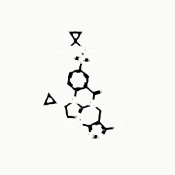 Cc1noc(C)c1CN1C(=O)c2cc(S(=O)(=O)NC3(C)CC3)ccc2N2C1=NC[C@@H]2C1CC1